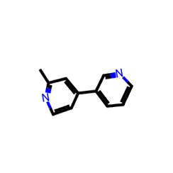 Cc1cc(-c2cccnc2)ccn1